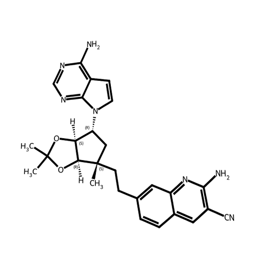 CC1(C)O[C@H]2[C@H](n3ccc4c(N)ncnc43)C[C@](C)(CCc3ccc4cc(C#N)c(N)nc4c3)[C@H]2O1